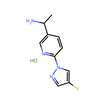 CC(N)c1ccc(-n2cc(F)cn2)nc1.Cl